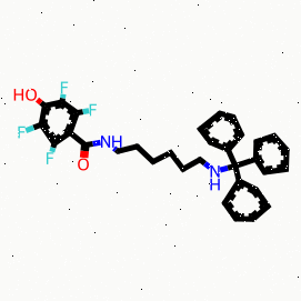 O=C(NCCCCCCNC(c1ccccc1)(c1ccccc1)c1ccccc1)c1c(F)c(F)c(O)c(F)c1F